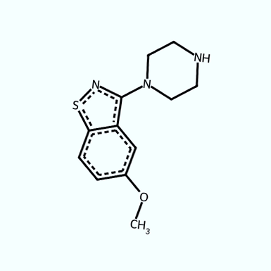 COc1ccc2snc(N3CCNCC3)c2c1